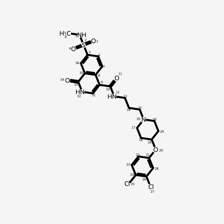 CNS(=O)(=O)c1ccc2c(C(=O)NCCCN3CCC(Oc4ccc(Cl)c(Cl)c4)CC3)c[nH]c(=O)c2c1